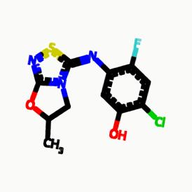 CC1Cn2c(nsc2=Nc2cc(O)c(Cl)cc2F)O1